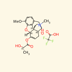 COc1ccc2c3c1O[C@H]1C(OC(=O)[C@H](C)O)=CC[C@]4(O)C(C2)N(C)CC[C@]314.O=C(O)C(F)(F)F